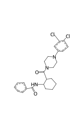 O=C(NC1CCCCC1C(=O)N1CCN(c2ccc(Cl)c(Cl)c2)CC1)c1ccccc1